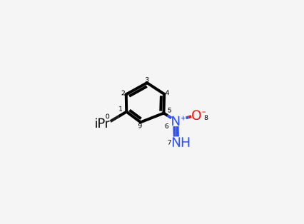 CC(C)c1cccc([N+](=N)[O-])c1